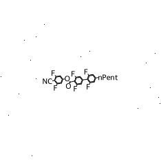 CCCCCc1cc(F)c(-c2cc(F)c(C(=O)Oc3cc(F)c(C#N)c(F)c3)c(F)c2)c(F)c1